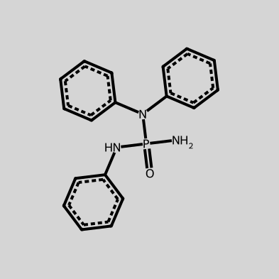 NP(=O)(Nc1ccccc1)N(c1ccccc1)c1ccccc1